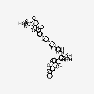 [2H]C([2H])([2H])Oc1ncc(-c2ccnc(N3CCc4c(sc5c4CCCC5)C3=O)c2[C@@H](C)O)cc1Nc1ccc(N2CCN(C3CCN(c4ccc5c(c4)C(=O)N(C4CCC(=O)N(COP(=O)(O)O)C4=O)C5=O)[C@@H](C)C3)C[C@@H]2C)cn1